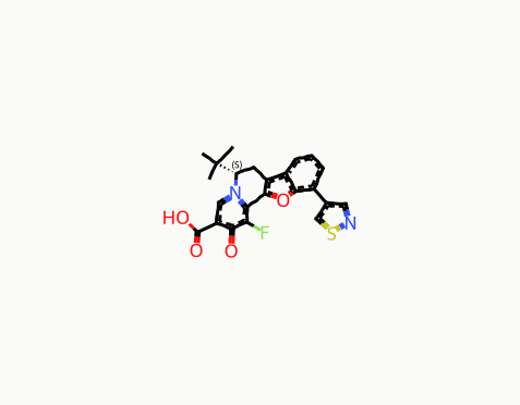 CC(C)(C)[C@@H]1Cc2c(oc3c(-c4cnsc4)cccc23)-c2c(F)c(=O)c(C(=O)O)cn21